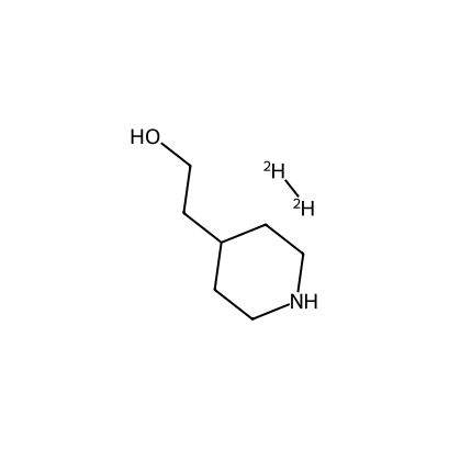 OCCC1CCNCC1.[2H][2H]